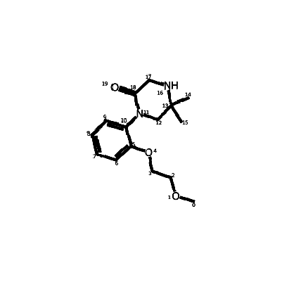 COCCOc1ccccc1N1CC(C)(C)NCC1=O